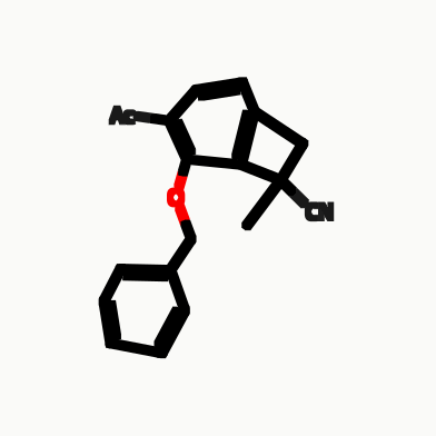 CC(=O)c1ccc2c(c1OCc1ccccc1)C(C)(C#N)C2